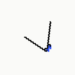 CCCCCCCCCCCCCCCCCc1ccnc(-c2cc(CCCCCCCCCCCCCCCCC)ccn2)c1